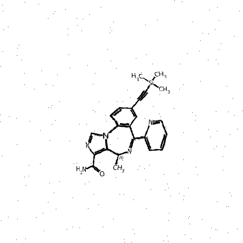 C[C@@H]1N=C(c2ccccn2)c2cc(C#C[Si](C)(C)C)ccc2-n2cnc(C(N)=O)c21